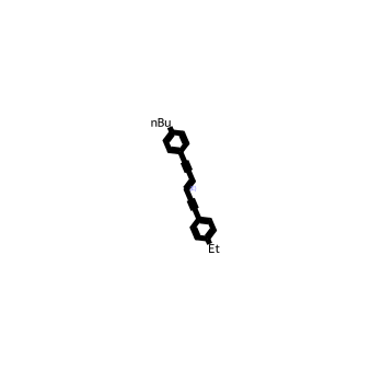 CCCCc1ccc(C#C/C=C/C#Cc2ccc(CC)cc2)cc1